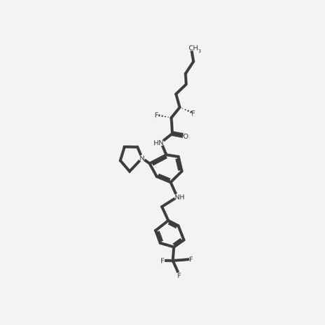 CCCCC[C@H](F)[C@@H](F)C(=O)Nc1ccc(NCc2ccc(C(F)(F)F)cc2)cc1N1CCCC1